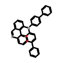 c1ccc(-c2ccc(N(c3ccc(-c4ccccc4)cc3)c3cccc4cnc5cccnc5c34)cc2)cc1